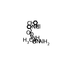 CC(COC(=O)Cc1ccccc1Nc1c(Cl)cccc1Cl)NC(=O)C[NH][AlH2]